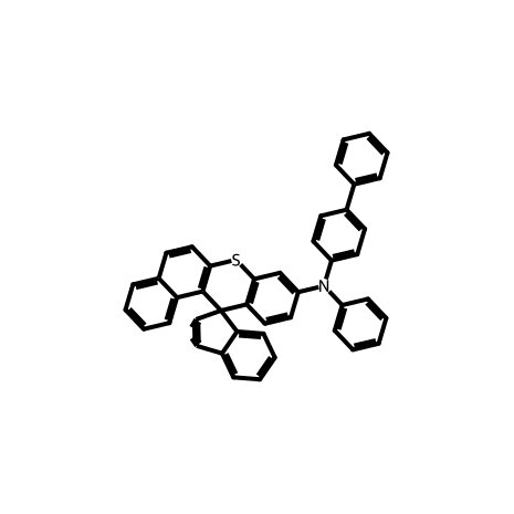 c1ccc(-c2ccc(N(c3ccccc3)c3ccc4c(c3)Sc3ccc5ccccc5c3C43c4ccccc4-c4ccccc43)cc2)cc1